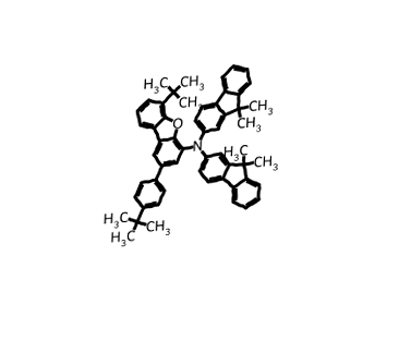 CC(C)(C)c1ccc(-c2cc(N(c3ccc4c(c3)C(C)(C)c3ccccc3-4)c3ccc4c(c3)C(C)(C)c3ccccc3-4)c3oc4c(C(C)(C)C)cccc4c3c2)cc1